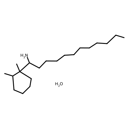 CCCCCCCCCCCC(N)C1(C)CCCCC1C.O